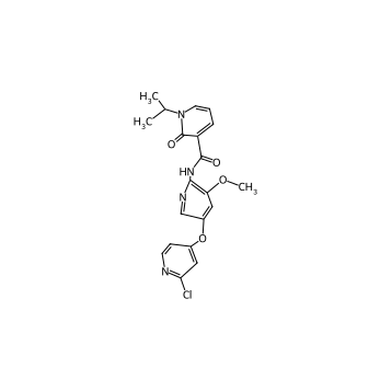 COc1cc(Oc2ccnc(Cl)c2)cnc1NC(=O)c1cccn(C(C)C)c1=O